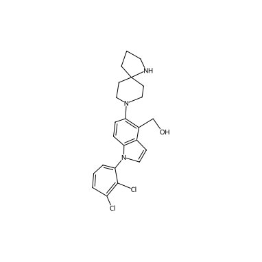 OCc1c(N2CCC3(CCCN3)CC2)ccc2c1ccn2-c1cccc(Cl)c1Cl